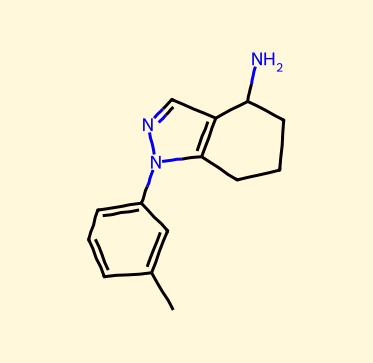 Cc1cccc(-n2ncc3c2CCCC3N)c1